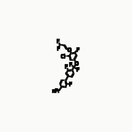 CCCc1ccc(-c2ccc(C(F)(F)Oc3cc(F)c(O/C=C/C(F)F)c(Cl)c3)c(F)c2)c(F)c1